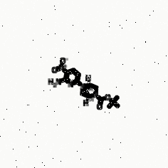 CC(C)(C)OC(=O)N1C[C@H]2C[C@@H]1CN2c1ccc([N+](=O)[O-])c(N)n1